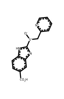 O=C(O)c1ccc2[nH]c([S+]([O-])Cc3ccccn3)nc2c1